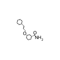 NC(=O)c1cccc(OCC=Cc2ccccc2)c1